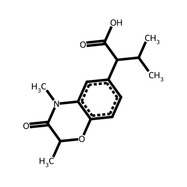 CC1Oc2ccc(C(C(=O)O)C(C)C)cc2N(C)C1=O